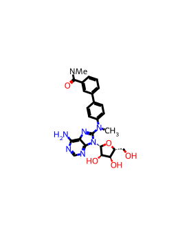 CNC(=O)c1cccc(-c2ccc(N(C)c3nc4c(N)ncnc4n3[C@@H]3O[C@H](CO)[C@@H](O)[C@H]3O)cc2)c1